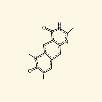 Cc1nc2cc3cc(C)c(=O)n(C)c3cc2c(=O)[nH]1